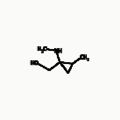 CNC1(CO)CC1C